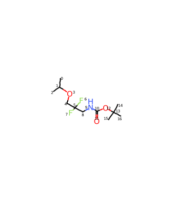 CC(C)OCC(F)(F)CNC(=O)OC(C)(C)C